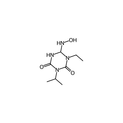 CCN1C(=O)N(C(C)C)C(=O)NC1NO